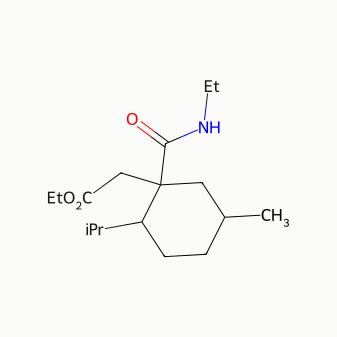 CCNC(=O)C1(CC(=O)OCC)CC(C)CCC1C(C)C